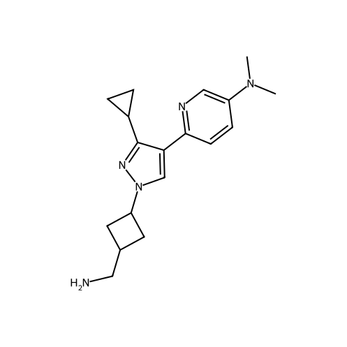 CN(C)c1ccc(-c2cn(C3CC(CN)C3)nc2C2CC2)nc1